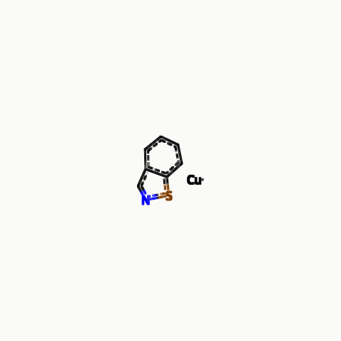 [Cu].c1ccc2sncc2c1